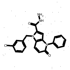 NNC(=O)c1cc2c(ccc(=O)n2-c2ccccc2)n1Cc1cccc(Cl)c1